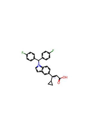 O=C(O)/C=C(/c1ccc2c(ccn2C(c2ccc(F)cc2)c2ccc(F)cc2)c1)C1CC1